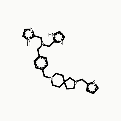 c1csc(CN2CCC3(CCN(Cc4ccc(CN(Cc5ncc[nH]5)Cc5ncc[nH]5)cc4)CC3)C2)c1